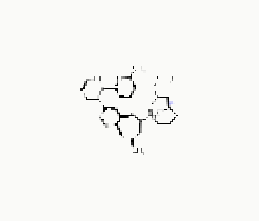 C=C1C=C(N2CCC/C(C)=C/C(CC(=O)O)C2)C=c2cc(C3=C(c4cccc(C)n4)NC=CC3)ccc2=C1